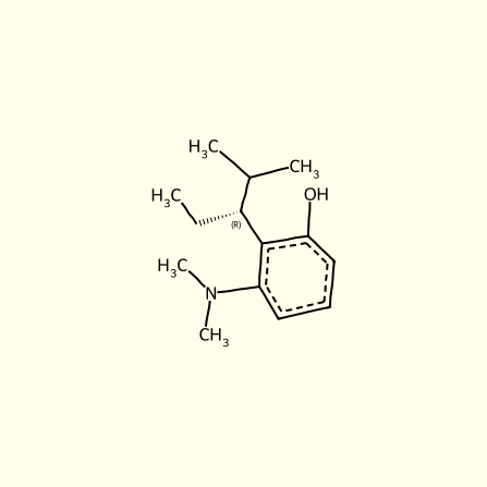 CC[C@@H](c1c(O)cccc1N(C)C)C(C)C